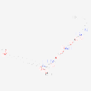 CN(CCCCCC(=O)O)CCNC(=O)COCCOCCNC(=O)COCCOCCNC(=O)CCC(NC(=O)CCCCCCCCCCCCCCCCC(=O)OC(C)(C)C)C(=O)OC(C)(C)C